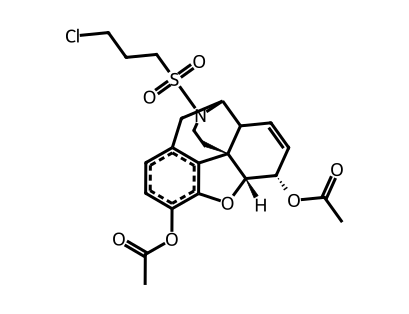 CC(=O)Oc1ccc2c3c1O[C@H]1[C@@H](OC(C)=O)C=CC4C(C2)N(S(=O)(=O)CCCCl)CC[C@@]341